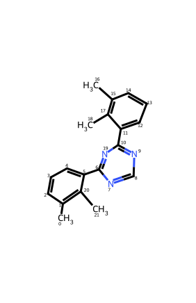 Cc1cccc(-c2ncnc(-c3cccc(C)c3C)n2)c1C